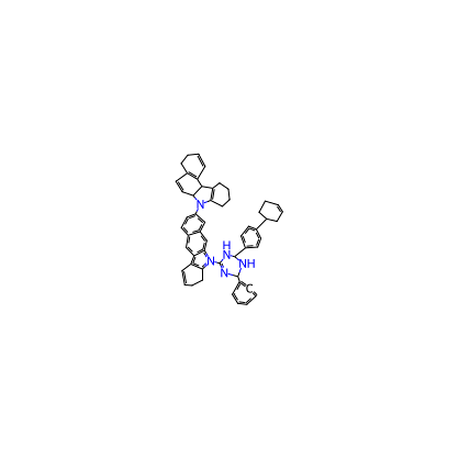 C1=CC2=C(C=CC3C2C2=C(CCCC2)N3c2ccc3cc4c5c(n(C6=NC(c7ccccc7)NC(c7ccc(C8CC=CCC8)cc7)N6)c4cc3c2)CCC=C5)CC1